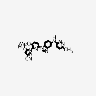 COc1ccc(-n2cnc3cc(Nc4ccc(C)nn4)ccc32)nc1-n1nc(C#N)cc1C